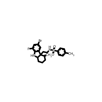 C=C1CCCC2Nc3c(F)cc(Br)cc3C12CCNS(=O)(=O)c1ccc(C)cc1